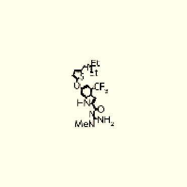 CCN(CC)Cc1ccc(Oc2cc(C(F)(F)F)c3cc(C(=O)N=C(N)NC)[nH]c3c2)s1